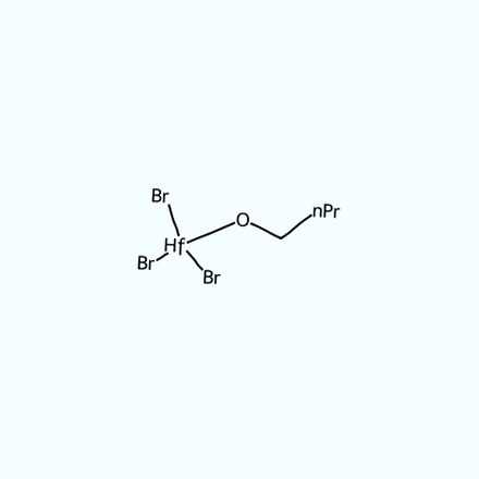 CCCC[O][Hf]([Br])([Br])[Br]